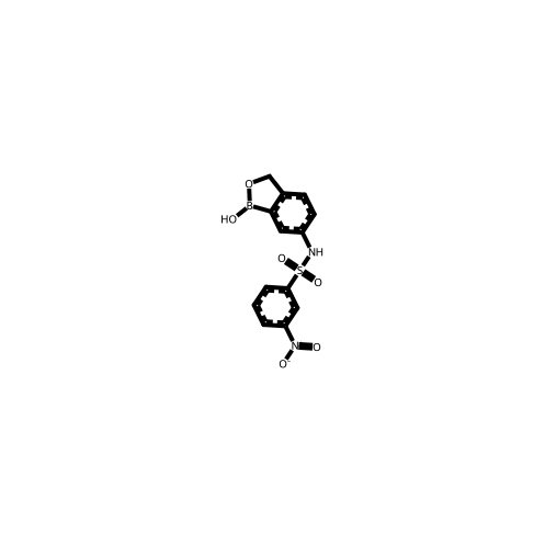 O=[N+]([O-])c1cccc(S(=O)(=O)Nc2ccc3c(c2)B(O)OC3)c1